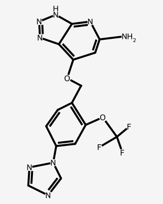 Nc1cc(OCc2ccc(-n3cncn3)cc2OC(F)(F)F)c2nn[nH]c2n1